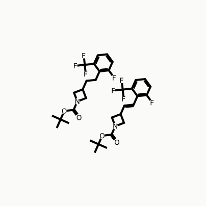 CC(C)(C)OC(=O)N1CC(/C=C/c2c(F)cccc2C(F)(F)F)C1.CC(C)(C)OC(=O)N1CC(CCc2c(F)cccc2C(F)(F)F)C1